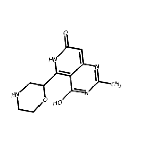 Cc1nc(O)c2c(C3CNCCO3)[nH]c(=O)cc2n1